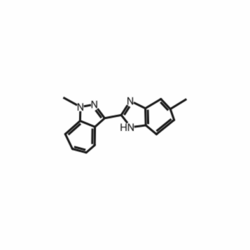 Cc1ccc2[nH]c(-c3nn(C)c4ccccc34)nc2c1